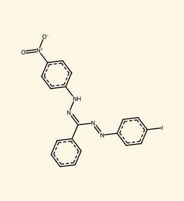 O=[N+]([O-])c1ccc(NN=C(N=Nc2ccc(I)cc2)c2ccccc2)cc1